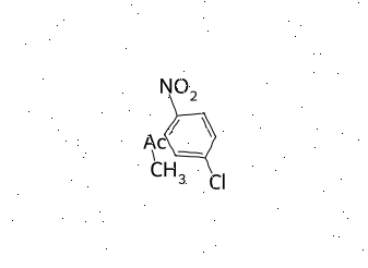 CC(C)=O.O=[N+]([O-])c1ccc(Cl)cc1